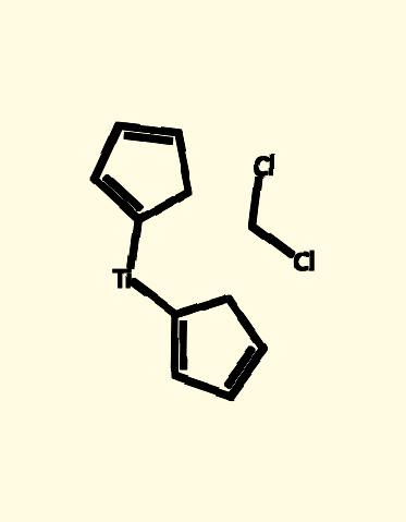 C1=CC[C]([Ti][C]2=CC=CC2)=C1.ClCCl